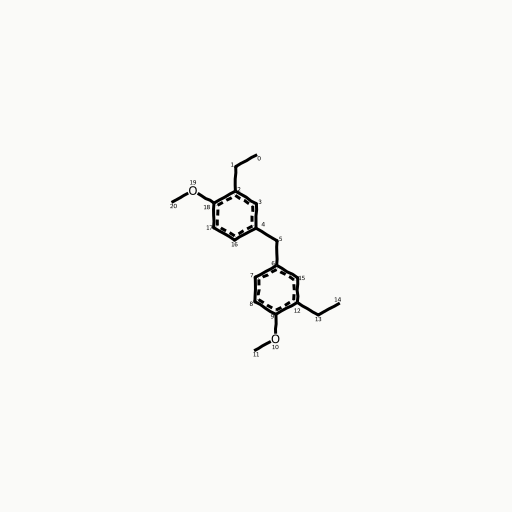 CCc1cc(Cc2ccc(OC)c(CC)c2)ccc1OC